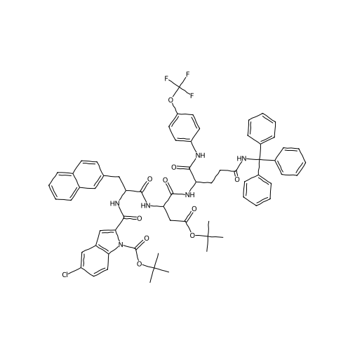 CC(C)(C)OC(=O)CC(NC(=O)C(Cc1ccc2ccccc2c1)NC(=O)c1cc2cc(Cl)ccc2n1C(=O)OC(C)(C)C)C(=O)NC(CCC(=O)NC(c1ccccc1)(c1ccccc1)c1ccccc1)C(=O)Nc1ccc(OC(F)(F)F)cc1